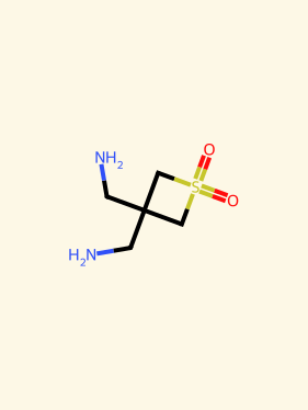 NCC1(CN)CS(=O)(=O)C1